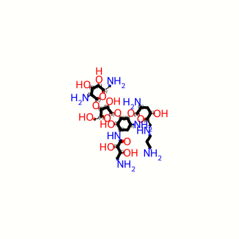 NCCCNC[C@H]1O[C@H](O[C@H]2[C@H](O[C@@H]3O[C@H](CO)[C@@H](O[C@H]4O[C@@H](CN)[C@@H](O)[C@H](O)[C@H]4N)[C@H]3O)[C@@H](O)[C@H](NC(=O)[C@@H](O)[C@@H](O)CN)C[C@@H]2N)[C@H](N)C[C@@H]1O